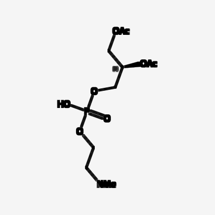 CNCCOP(=O)(O)OC[C@@H](COC(C)=O)OC(C)=O